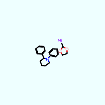 CC1OCCO1.I.c1ccc(C2CCCCN2c2ccccc2)cc1